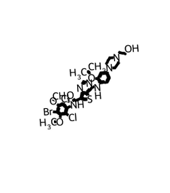 COc1c(Cl)c(NC(=O)c2csc3c(Nc4ccc(N5CCN(CCO)CC5)cc4OC(C)C)ncnc23)c(Cl)c(OC)c1Br